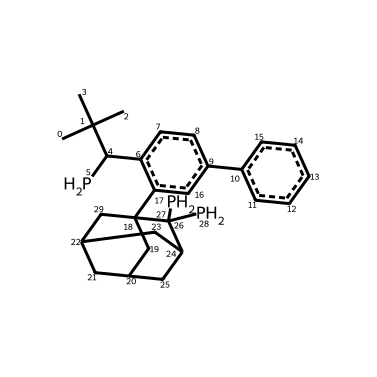 CC(C)(C)C(P)c1ccc(-c2ccccc2)cc1C12CC3CC(CC(C3)C1(P)P)C2